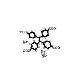 O=C([O-])c1ccc(C(c2ccc(C(=O)[O-])cc2)C(c2ccc(C(=O)[O-])cc2)c2ccc(C(=O)[O-])cc2)cc1.[Na+].[Na+].[Na+].[Na+]